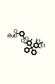 CCC(C)OC(=O)c1cccc(C(=O)Oc2c(C)cc(C(c3ccccc3)(c3ccccc3)c3cc(C)c(C(C)(CC)CC)c(C)c3)cc2C)c1